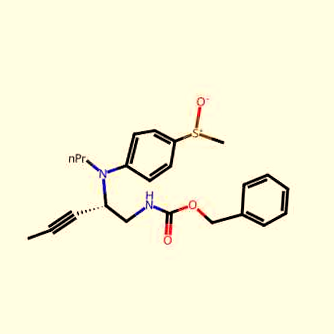 CC#C[C@@H](CNC(=O)OCc1ccccc1)N(CCC)c1ccc([S+](C)[O-])cc1